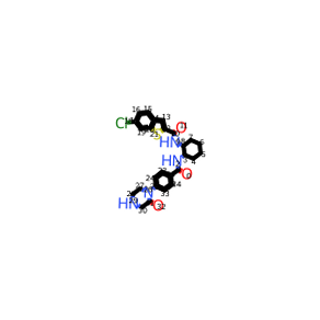 O=C(NC1CCCCC1NC(=O)c1cc2ccc(Cl)cc2s1)c1ccc(N2CCNCC2=O)cc1